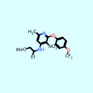 CCC(COC)Nc1cc(C)nc(Oc2ccc(OC(F)(F)F)cc2)c1[N+](=O)[O-]